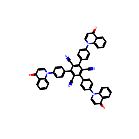 N#Cc1c(-c2ccc(-n3ccc(=O)c4ccccc43)cc2)c(C#N)c(-c2ccc(-n3ccc(=O)c4ccccc43)cc2)c(C#N)c1-c1ccc(-n2ccc(=O)c3ccccc32)cc1